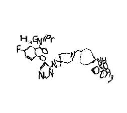 CC(C)N(C)C(=O)c1cc(F)ccc1Oc1cncnc1N1CC2(CCN(CC3CCC(NS(C)(=O)=O)CC3)CC2)C1